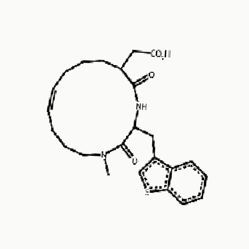 CN1CCCC=CCCCC(CC(=O)O)C(=O)NC(Cc2csc3ccccc23)C1=O